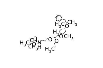 CCCOC(COCCCNC(=O)OC(C)(C)C)COC(C)(C)CCOC(C)(C)Cc1ccccc1